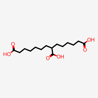 O=C(O)CCCCCCC(CCCCCC(=O)O)C(=O)O